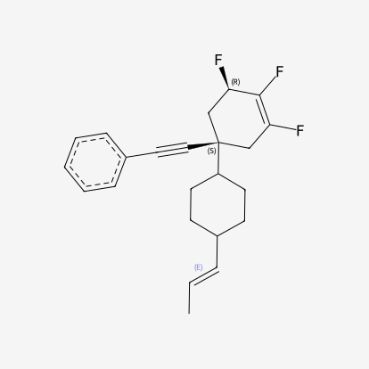 C/C=C/C1CCC([C@@]2(C#Cc3ccccc3)CC(F)=C(F)[C@H](F)C2)CC1